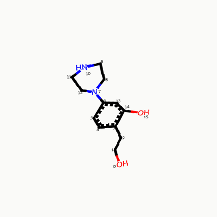 OCCc1ccc(N2CCNCC2)cc1O